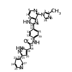 Cc1cn(-c2nccc3[nH]c(-c4ccc(NC(=O)Cc5cc(-c6cccnc6)n[nH]5)cc4)nc23)cn1